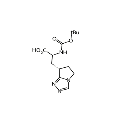 CC(C)(C)OC(=O)NC(C[C@@H]1CCn2cnnc21)C(=O)O